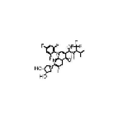 CC(C)C(NC(=O)C1=CN(c2c(F)cc(F)cc2F)C2=NC(N3C[C@@H](O)[C@@H](O)C3)=C(F)CC2C1=O)C(F)(F)F